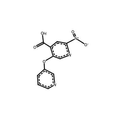 O=C(O)c1cc([N+](=O)[O-])ncc1Oc1cccnc1